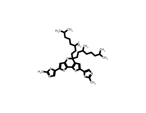 Cc1ncc(-c2cc3c(s2)-c2sc(-c4cnc(C)s4)cc2C(CCC(C)CCCC(C)C)(CCC(C)CCCC(C)C)O3)s1